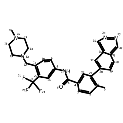 Cc1ccc(C(=O)Nc2ccc(CN3CCN(C)CC3)c(C(F)(F)F)c2)cc1-c1ccc2cnncc2c1